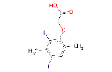 Cc1cc(I)c(C)c(I)c1OCC(=O)O